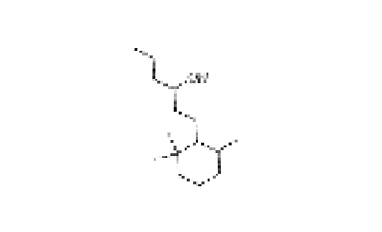 CCCC(O)CCC1C(C)CCCC1(C)C